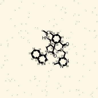 CCNC[C@@H]1CN(c2cncc3ccccc23)C(=O)[C@@]12CN(Cc1cc(C)ncn1)C(=O)c1ccc(Cl)cc12